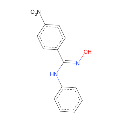 O=[N+]([O-])c1ccc(/C(=N\O)Nc2ccccc2)cc1